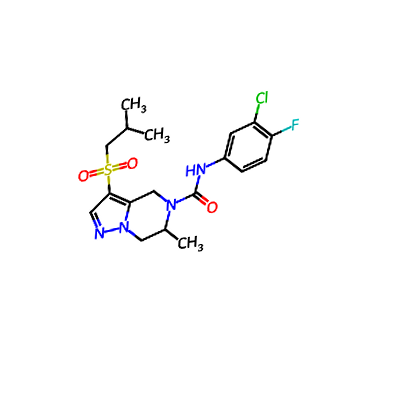 CC(C)CS(=O)(=O)c1cnn2c1CN(C(=O)Nc1ccc(F)c(Cl)c1)C(C)C2